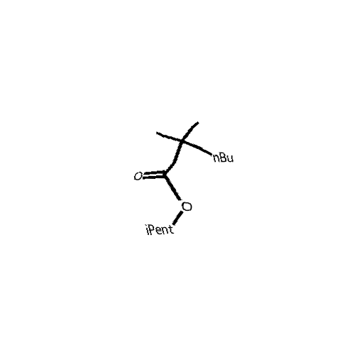 CCCCC(C)(C)C(=O)OC(C)CCC